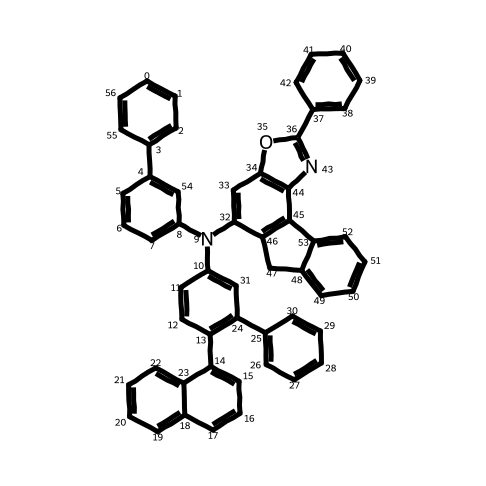 c1ccc(-c2cccc(N(c3ccc(-c4cccc5ccccc45)c(-c4ccccc4)c3)c3cc4oc(-c5ccccc5)nc4c4c3Cc3ccccc3-4)c2)cc1